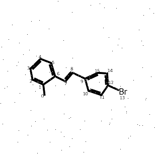 Cc1ccccc1C=Cc1ccc(Br)cc1